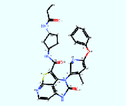 CCC(=O)N[C@@H]1CC[C@@H](NC(=O)c2sc3nccc4c3c2N(c2cnc(Oc3ccccc3)cc2C)C(=O)N4)C1